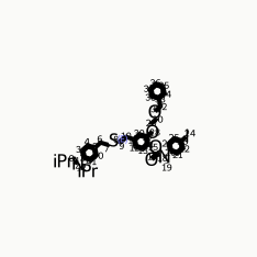 CC(C)N(c1ccc(CCS/C=C/c2ccc(OC(=O)N(C)c3ccc(I)cc3)c(OCCOCc3ccccc3)c2)cc1)C(C)C